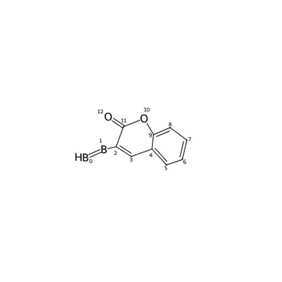 B=Bc1cc2ccccc2oc1=O